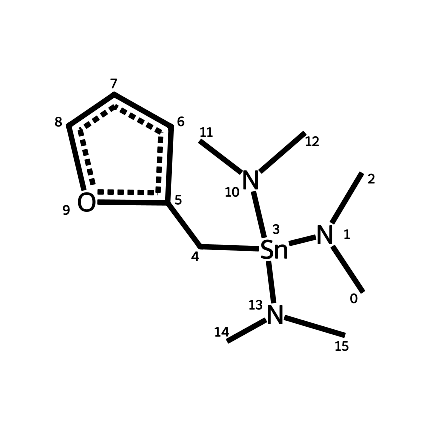 C[N](C)[Sn]([CH2]c1ccco1)([N](C)C)[N](C)C